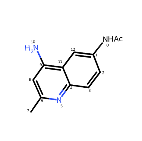 CC(=O)Nc1ccc2nc(C)cc(N)c2c1